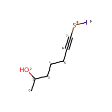 CC(O)CCCC#CSI